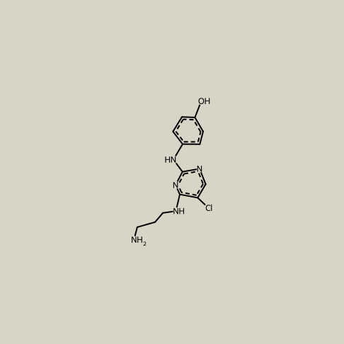 NCCCNc1nc(Nc2ccc(O)cc2)ncc1Cl